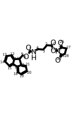 O=C(CCCNC(=O)OCC1c2ccccc2-c2ccccc21)ON1C(=O)CCC1=O